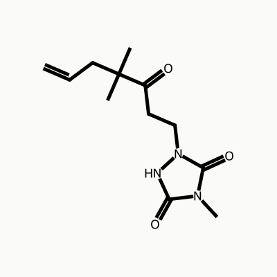 C=CCC(C)(C)C(=O)CCn1[nH]c(=O)n(C)c1=O